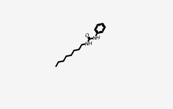 CCCCCCCCNC(=O)Nc1c[c]ccc1